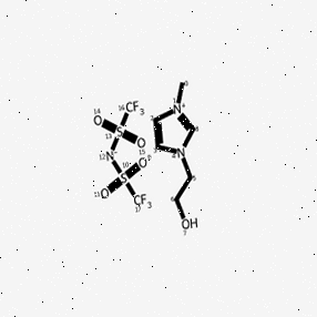 C[n+]1ccn(CCO)c1.O=S(=O)([N-]S(=O)(=O)C(F)(F)F)C(F)(F)F